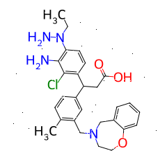 CCN(N)c1ccc(C(CC(=O)O)c2ccc(C)c(CN3CCOc4ccccc4C3)c2)c(Cl)c1N